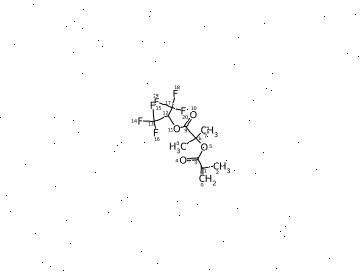 C=C(C)C(=O)OC(C)(C)C(=O)OC(C(F)(F)F)C(F)(F)F